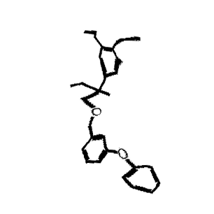 CCc1ccc(C(C)(CC)COCc2cccc(Oc3ccccc3)c2)cc1CC